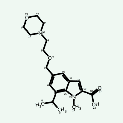 CC(C)c1cc(COCCN2CCOCC2)cc2cc(C(=O)O)n(C)c12